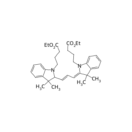 CCOC(=O)CCCN1C(=CC=CC2N(CCCC(=O)OCC)c3ccccc3C2(C)C)C(C)(C)c2ccccc21